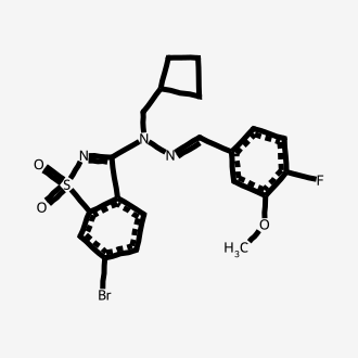 COc1cc(/C=N/N(CC2CCC2)C2=NS(=O)(=O)c3cc(Br)ccc32)ccc1F